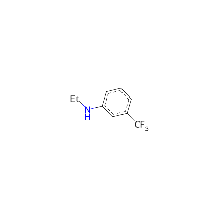 CCNc1cccc(C(F)(F)F)c1